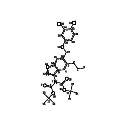 CCCc1cc2c(N(C(=O)OC(C)(C)C)C(=O)OC(C)(C)C)noc2cc1COc1ccc(Cl)c(Cl)c1